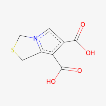 O=C(O)c1cn2c(c1C(=O)O)CSC2